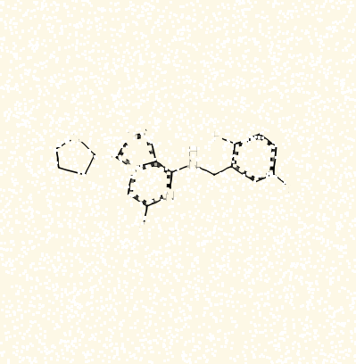 Fc1ccc(Cl)cc1CNc1nc(Cl)cn2c([C@@H]3CCCS3)nnc12